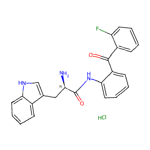 Cl.N[C@H](Cc1c[nH]c2ccccc12)C(=O)Nc1ccccc1C(=O)c1ccccc1F